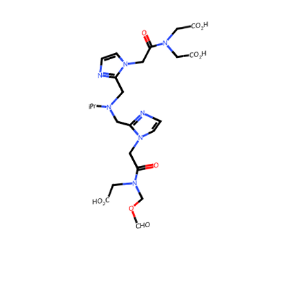 CC(C)N(Cc1nccn1CC(=O)N(COC=O)CC(=O)O)Cc1nccn1CC(=O)N(CC(=O)O)CC(=O)O